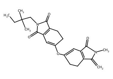 C=C1C2=C(C=C(OC3=CC4=C(CC3)C(=O)N(CC(C)(C)CC)C4=O)CC2)C(=O)N1C